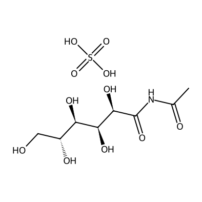 CC(=O)NC(=O)[C@H](O)[C@@H](O)[C@H](O)[C@H](O)CO.O=S(=O)(O)O